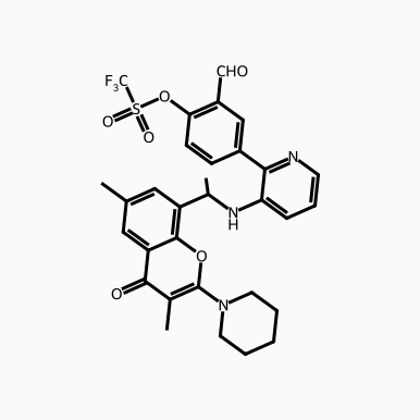 Cc1cc(C(C)Nc2cccnc2-c2ccc(OS(=O)(=O)C(F)(F)F)c(C=O)c2)c2oc(N3CCCCC3)c(C)c(=O)c2c1